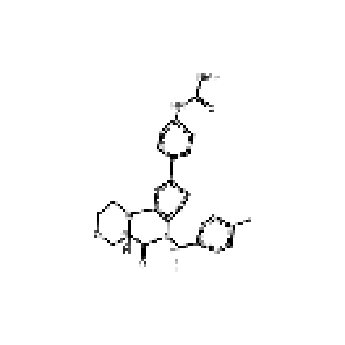 CNC(=O)Nc1ccc(-c2ncc3c(n2)N2CCOC[C@H]2C(=O)N3[C@@H](C)c2ccc(C)cc2)cc1